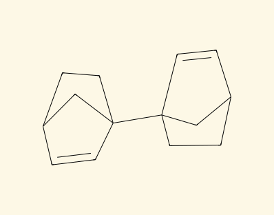 C1=CC2(C34C=CC(CC3)C4)CCC1C2